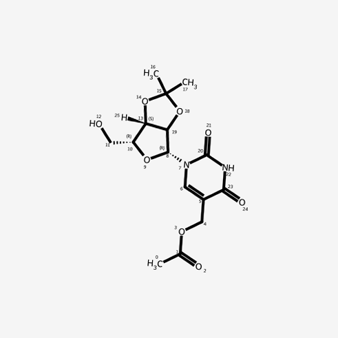 CC(=O)OCc1cn([C@@H]2O[C@H](CO)[C@@H]3OC(C)(C)OC32)c(=O)[nH]c1=O